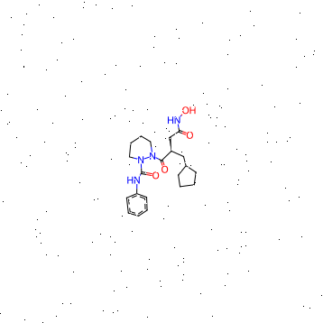 O=C(C[C@@H](CC1CCCC1)C(=O)N1CCCCN1C(=O)Nc1ccccc1)NO